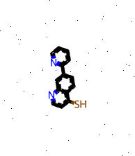 Sc1ccnc2cc(-c3ccccn3)ccc12